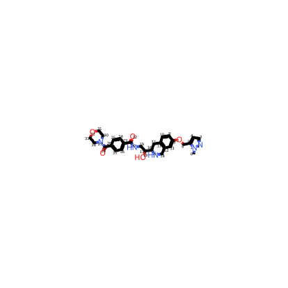 Cn1nccc1COc1ccc2c(c1)CNC(C(O)CNC(=O)c1ccc(C(=O)N3CCOCC3)cc1)C2